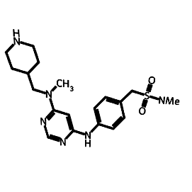 CNS(=O)(=O)Cc1ccc(Nc2cc(N(C)CC3CCNCC3)ncn2)cc1